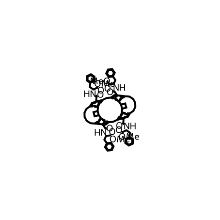 COC(=O)C(Cc1ccccc1)NC(=O)Cc1c2cc3cc1C1CCC1c1cc(cc(c1CC(=O)NC(Cc1ccccc1)C(=O)OC)Cc1cc4cc(c1CC(=O)NC(Cc1ccccc1)C(=O)OC)C1CCC1c1cc(cc(c1CC(=O)NC(Cc1ccccc1)C(=O)OC)C2)CCCCC4)CCCCC3